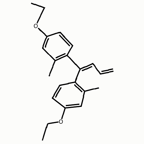 C=CC=C(c1ccc(OCC)cc1C)c1ccc(OCC)cc1C